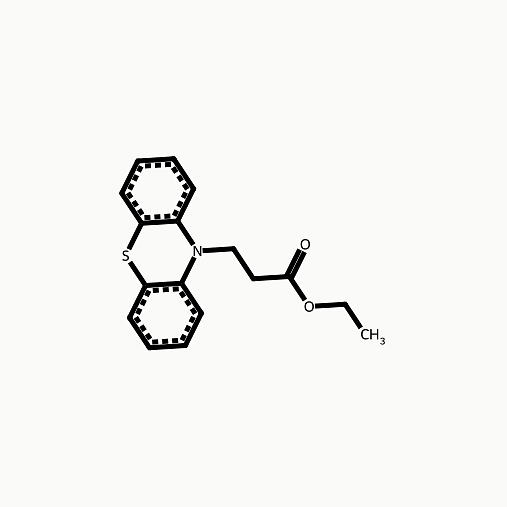 CCOC(=O)CCN1c2ccccc2Sc2ccccc21